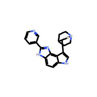 c1cncc(-c2nc3c(ccc4[nH]cc(C5CN6CCC5CC6)c43)[nH]2)c1